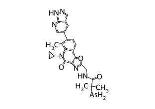 Cc1c(-c2cnc3[nH]ncc3c2)ccc2c3oc(CNC(=O)C(C)(C)[AsH2])nc3c(=O)n(C3CC3)c12